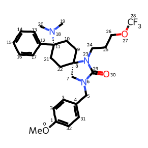 COc1ccc(CN2C[C@]3(CC[C@@](c4ccccc4)(N(C)C)CC3)N(CCCOC(F)(F)F)C2=O)cc1